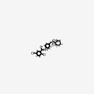 C[N+](C)(Cc1ccc(NC(=O)c2cc(Cl)ccc2Cl)cc1)C1CCCCC1